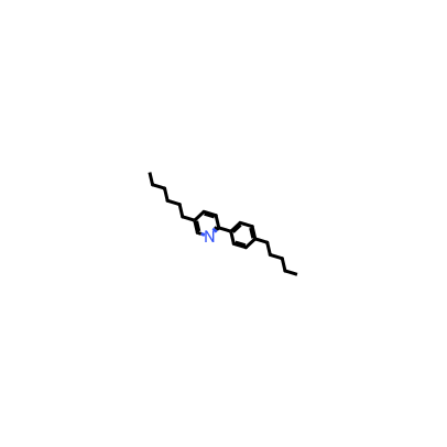 CCCCCCc1ccc(-c2ccc(CCCCC)cc2)nc1